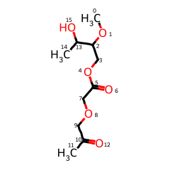 COC(COC(=O)COCC(C)=O)C(C)O